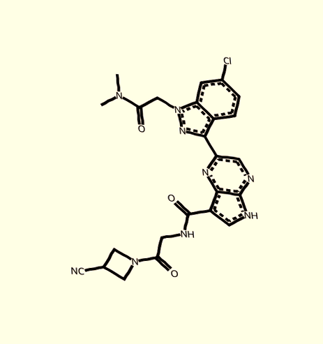 CN(C)C(=O)Cn1nc(-c2cnc3[nH]cc(C(=O)NCC(=O)N4CC(C#N)C4)c3n2)c2ccc(Cl)cc21